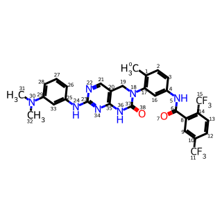 Cc1ccc(NC(=O)c2cc(C(F)(F)F)ccc2C(F)(F)F)cc1N1Cc2cnc(Nc3cccc(N(C)C)c3)nc2NC1=O